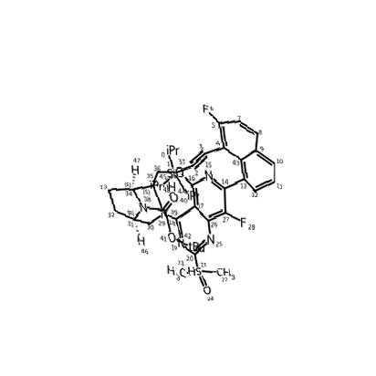 CC(C)[Si](C#Cc1c(F)ccc2cccc(-c3nc4c5c(nc([SH](C)(C)=O)nc5c3F)N3C[C@H]5CC[C@@H]([C@H]3CO4)N5C(=O)OC(C)(C)C)c12)(C(C)C)C(C)C